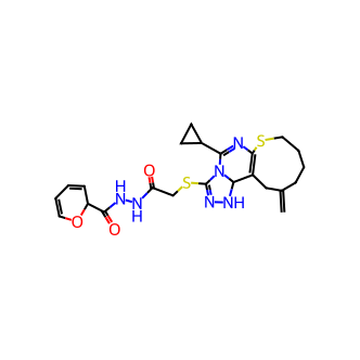 C=C1CCCCSC2=C(C1)C1NN=C(SCC(=O)NNC(=O)C3C=CC=CO3)N1C(C1CC1)=N2